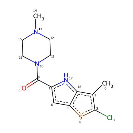 Cc1c(Cl)sc2cc(C(=O)N3CCN(C)CC3)[nH]c12